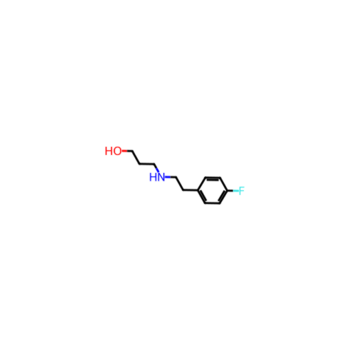 OCCCNCCc1ccc(F)cc1